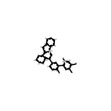 Cc1cc(-c2cc(-c3cn4c5ccccc5cc4c4ccccc34)ccc2C)[n+](C)cc1C